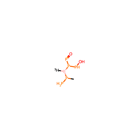 [3H]B(P(C)P)P(P=O)PO